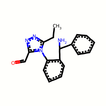 CCc1nnc(C=O)n1-c1ccccc1C(N)c1ccccc1